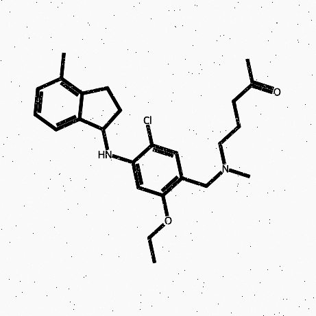 CCOc1cc(NC2CCc3c(C)cccc32)c(Cl)cc1CN(C)CCCC(C)=O